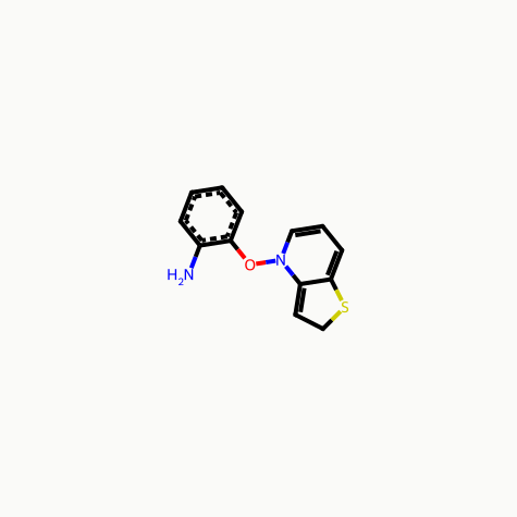 Nc1ccccc1ON1C=CC=C2SCC=C21